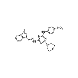 O=[N+]([O-])c1ccc(Nc2nc(N/N=C/c3c[nH]c4ccccc34)nc(N3CCOCC3)n2)cc1